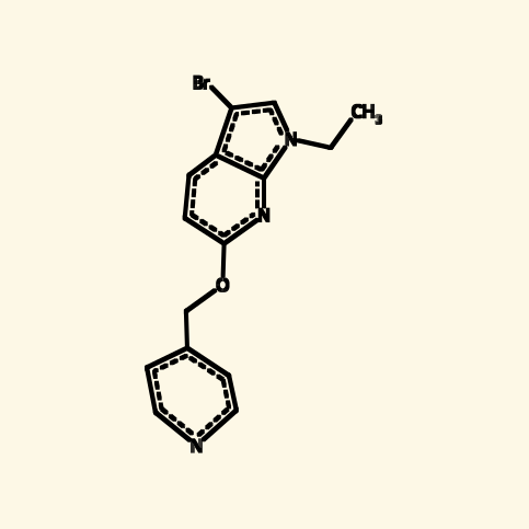 CCn1cc(Br)c2ccc(OCc3ccncc3)nc21